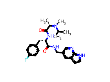 CC(C)N(C)[C@@H](C)C(=O)N[C@@H](Cc1ccc(F)cc1)C(=O)NCc1cnc2[nH]ccc2c1